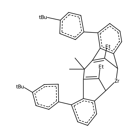 CCC1=C2c3c(-c4ccc(C(C)(C)C)cc4)cccc3[CH]1[Zr][CH]1C(CC)=C(c3c(-c4ccc(C(C)(C)C)cc4)cccc31)C2(C)C